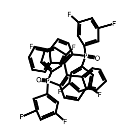 O=P(c1cc(F)cc(F)c1)(c1cc(F)cc(F)c1)c1ccc2ccccc2c1-c1c(P(=O)(c2cc(F)cc(F)c2)c2cc(F)cc(F)c2)ccc2ccccc12